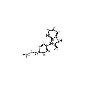 CCOc1ccc(-n2c(=O)[nH]c3cccnc32)cc1